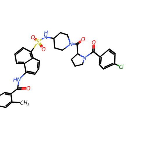 Cc1ccccc1C(=O)Nc1cccc2c(S(=O)(=O)NC3CCN(C(=O)[C@@H]4CCCN4C(=O)c4ccc(Cl)cc4)CC3)cccc12